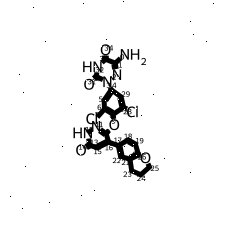 Nc1nn(-c2cc(Cl)c(Oc3n[nH]c(=O)cc3-c3ccc4c(c3)CCCO4)c(Cl)c2)c(=O)[nH]c1=O